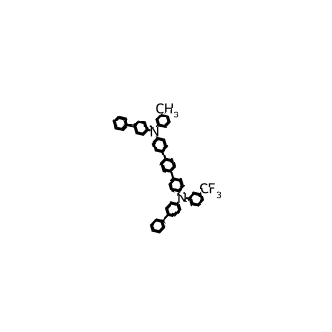 Cc1cccc(N(c2ccc(-c3ccccc3)cc2)c2ccc(-c3ccc(-c4ccc(N(c5ccc(-c6ccccc6)cc5)c5cccc(C(F)(F)F)c5)cc4)cc3)cc2)c1